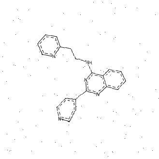 c1ccc(CCNc2nc(-c3ccncc3)nc3ccccc23)nc1